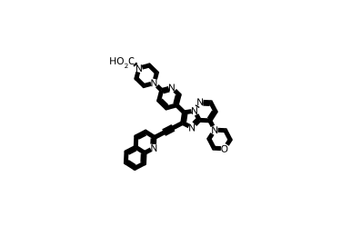 O=C(O)N1CCN(c2ccc(-c3c(C#Cc4ccc5ccccc5n4)nc4c(N5CCOCC5)ccnn34)cn2)CC1